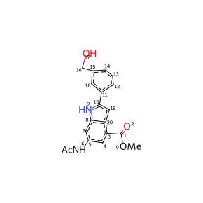 COC(=O)c1cc(NC(C)=O)cc2[nH]c(-c3cccc(CO)c3)cc12